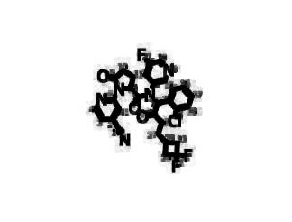 N#Cc1ccnc(N2C(=O)CC[C@H]2C(=O)N(c2cncc(F)c2)[C@H](C(=O)CCC2CC(F)(F)C2)c2ccccc2Cl)c1